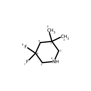 CC1(C)CNCC(F)(F)C1